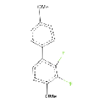 COc1ccc(-c2ccc(OC)c(F)c2F)cc1